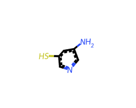 Nc1cncc(S)c1